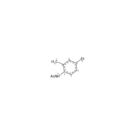 CCc1ccc(NC(C)=O)c(C)c1